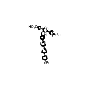 CCC[C@H]1CC[C@H](C2CCN(c3cnc(-c4ccc(C[C@H](NC(=O)c5cnc(C(C)(C)C)nc5)C(=O)N5CC(C(=O)O)C5)cc4)nc3)CC2)CC1